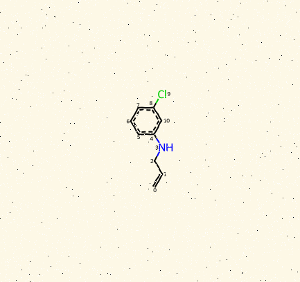 C=CCNc1cccc(Cl)c1